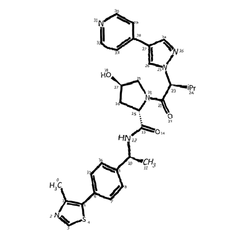 Cc1ncsc1-c1ccc([C@H](C)NC(=O)[C@@H]2C[C@@H](O)CN2C(=O)[C@H](C(C)C)n2cc(-c3ccncc3)cn2)cc1